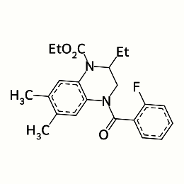 CCOC(=O)N1c2cc(C)c(C)cc2N(C(=O)c2ccccc2F)CC1CC